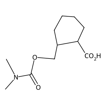 CN(C)C(=O)OCC1CCCCC1C(=O)O